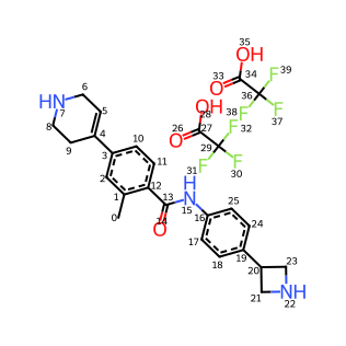 Cc1cc(C2=CCNCC2)ccc1C(=O)Nc1ccc(C2CNC2)cc1.O=C(O)C(F)(F)F.O=C(O)C(F)(F)F